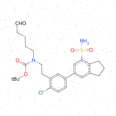 CC(C)(C)OC(=O)N(CCCCC=O)CCc1cc(-c2cc3c(c(S(N)(=O)=O)c2)CCC3)ccc1Cl